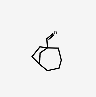 O=CC12CCCCC(CC1)C2